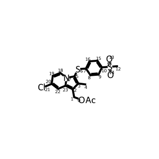 CC(=O)OCc1c(C)c(Sc2ccc(S(C)(=O)=O)cc2)n2ccc(Cl)cc12